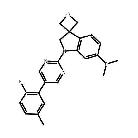 Cc1ccc(F)c(-c2cnc(N3CC4(COC4)c4ccc(P(C)C)cc43)nc2)c1